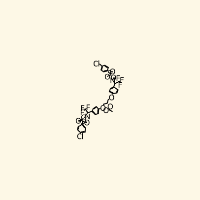 CC(=O)OC(COc1ccc(C(=NOS(=O)(=O)c2ccc(Cl)cc2)C(F)(F)F)cc1)COc1ccc(C(=NOS(=O)(=O)c2ccc(Cl)cc2)C(F)(F)F)cc1